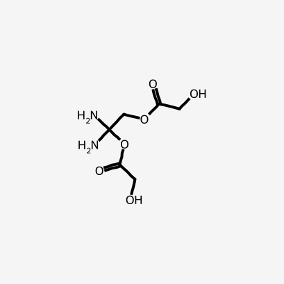 NC(N)(COC(=O)CO)OC(=O)CO